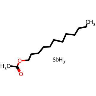 CCCCCCCCCCCCOC(C)=O.[SbH3]